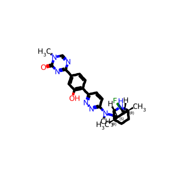 CN(c1ccc(-c2ccc(-c3ncn(C)c(=O)n3)cc2O)nn1)[C@@H]1[C@H](F)[C@@]2(C)CC[C@]1(C)CN2